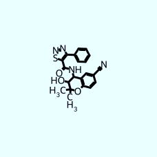 CC1(C)Oc2ccc(C#N)cc2C(NC(=O)c2snnc2-c2ccccc2)C1O